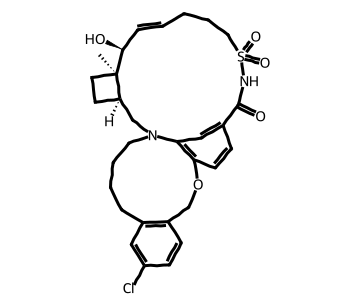 C[C@@]12CC[C@@H]1CN1CCCCc3cc(Cl)ccc3COc3ccc(cc31)C(=O)NS(=O)(=O)CCC/C=C/[C@@H]2O